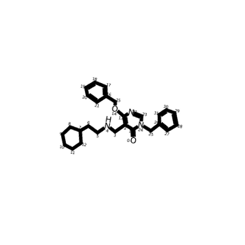 O=c1c(CNCCC2CCCCC2)c(OCc2ccccc2)ncn1Cc1ccccc1